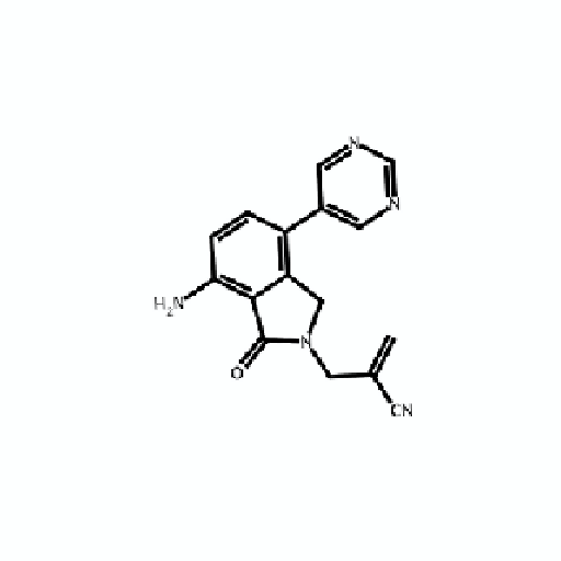 C=C(C#N)CN1Cc2c(-c3cncnc3)ccc(N)c2C1=O